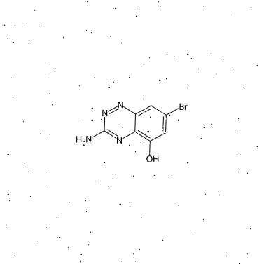 Nc1nnc2cc(Br)cc(O)c2n1